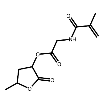 C=C(C)C(=O)NCC(=O)OC1CC(C)OC1=O